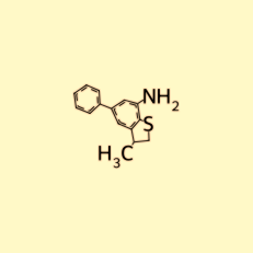 CC1CSc2c(N)cc(-c3ccccc3)cc21